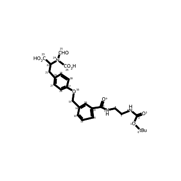 CC(C)(C)OC(=O)NCCNC(=O)c1cccc(COc2ccc(CC(C(=O)O)N(C=O)C(=O)O)cc2)c1